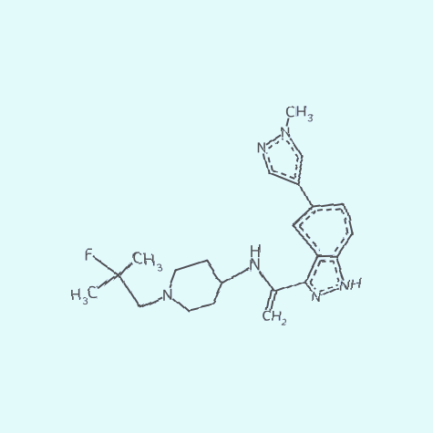 C=C(NC1CCN(CC(C)(C)F)CC1)c1n[nH]c2ccc(-c3cnn(C)c3)cc12